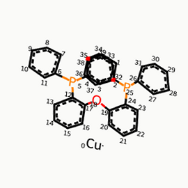 [Cu].c1ccc(P(c2ccccc2)c2ccccc2Oc2ccccc2P(c2ccccc2)c2ccccc2)cc1